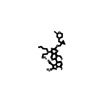 CCCCN(CCN)c1nc(OCC2(CN3CCO[C@H](C)C3)CC2)nc2c(CF)c(C3=CC=C(F)C4SC(N)=C(C#N)C34)ncc12